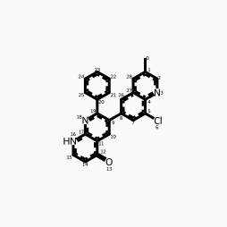 Cc1cnc2c(Cl)cc(-c3cc4c(=O)cc[nH]c4nc3-c3ccccc3)cc2c1